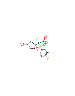 COC(=O)C(F)(C1CCC(=O)C1)S(=O)(=O)c1ccc(F)c(F)c1